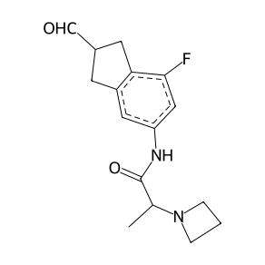 CC(C(=O)Nc1cc(F)c2c(c1)CC(C=O)C2)N1CCC1